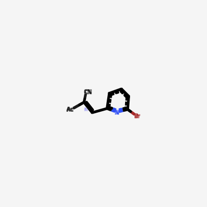 CC(=O)/C(C#N)=C/c1cccc(Br)n1